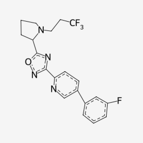 Fc1cccc(-c2ccc(-c3noc(C4CCCN4CCC(F)(F)F)n3)nc2)c1